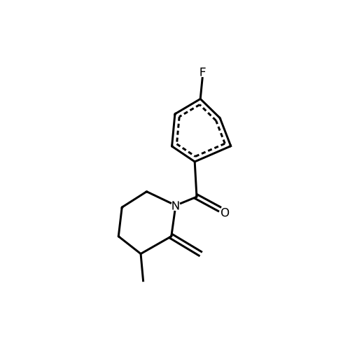 C=C1C(C)CCCN1C(=O)c1ccc(F)cc1